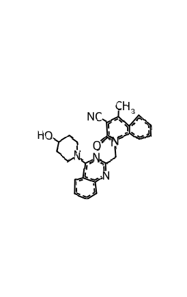 Cc1c(C#N)c(=O)n(Cc2nc(N3CCC(O)CC3)c3ccccc3n2)c2ccccc12